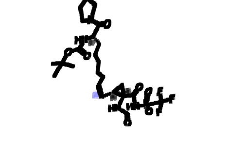 CC(C)(C)OC(=O)N[C@@H](CCCCC/C=C\[C@@H]1C[C@]1(NC=O)C(=O)NS(=O)(=O)C(F)(F)F)C(=O)N1CCCC1